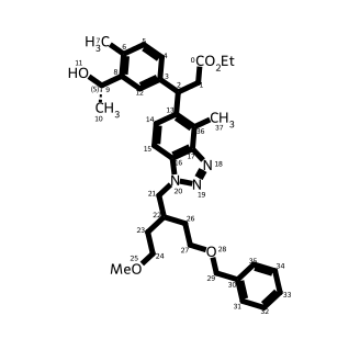 CCOC(=O)CC(c1ccc(C)c([C@H](C)O)c1)c1ccc2c(nnn2CC(CCOC)CCOCc2ccccc2)c1C